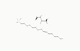 CCCCCCCCCCCCCCCC[N+](C)(C)C.O=C(O)C(O)C(O)C(=O)O